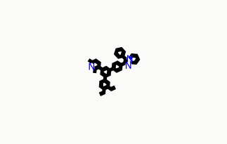 C=Cc1ccc(-c2cc(-c3ccc(-c4nc5ccccn5c4-c4ccccc4)cc3)cc(-c3ccc(C)nc3C)c2)cc1C=C